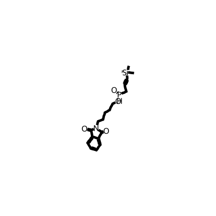 C[Si](C)(C)C#CC[PH](=O)OCCCCCN1C(=O)c2ccccc2C1=O